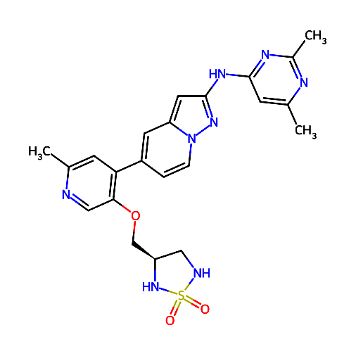 Cc1cc(-c2ccn3nc(Nc4cc(C)nc(C)n4)cc3c2)c(OC[C@H]2CNS(=O)(=O)N2)cn1